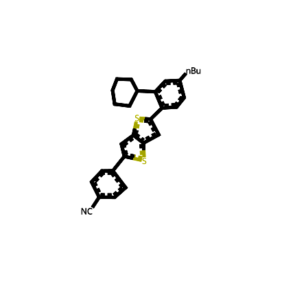 CCCCc1ccc(-c2cc3sc(-c4ccc(C#N)cc4)cc3s2)c(C2CCCCC2)c1